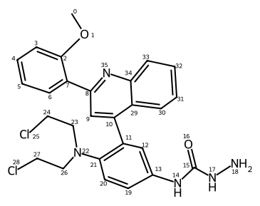 COc1ccccc1-c1cc(-c2cc(NC(=O)NN)ccc2N(CCCl)CCCl)c2ccccc2n1